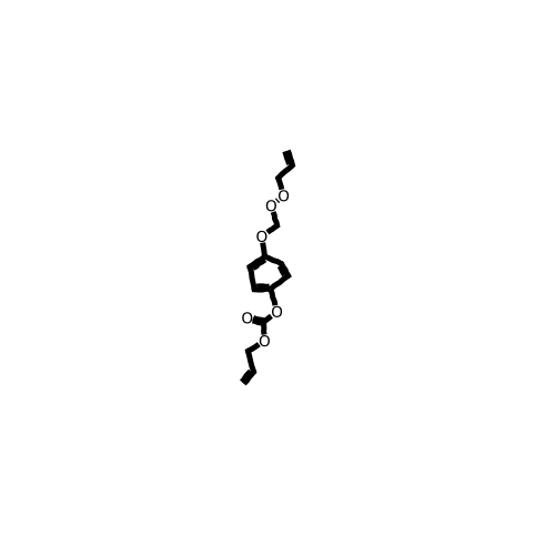 C=CCOOCOc1ccc(OC(=O)OCC=C)cc1